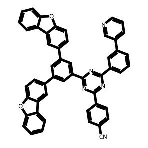 N#Cc1ccc(-c2nc(-c3cccc(-c4cccnc4)c3)nc(-c3cc(-c4ccc5oc6ccccc6c5c4)cc(-c4ccc5oc6ccccc6c5c4)c3)n2)cc1